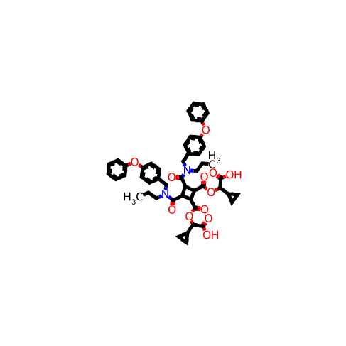 CCCN(Cc1ccc(Oc2ccccc2)cc1)C(=O)C1C(C(=O)OC(C(=O)O)C2CC2)C(C(=O)OC(C(=O)O)C2CC2)C1C(=O)N(CCC)Cc1ccc(Oc2ccccc2)cc1